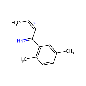 C/C=C\C(=N)c1cc(C)ccc1C